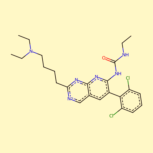 CCNC(=O)Nc1nc2nc(CCCCN(CC)CC)ncc2cc1-c1c(Cl)cccc1Cl